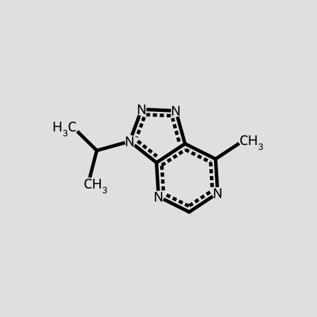 Cc1ncnc2c1nnn2C(C)C